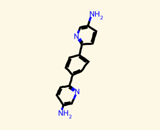 Nc1ccc(-c2ccc(-c3ccc(N)cn3)cc2)nc1